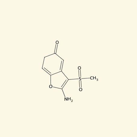 CS(=O)(=O)c1c(N)oc2c1=CC(=O)CC=2